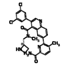 Cc1ccc(C(N)=O)nc1-c1ccc2ncc(-c3cc(Cl)cc(Cl)c3)c(C(=O)N(C)C[C@@H]3CCN3)c2c1